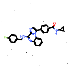 O=C(NC1CC1)c1ccc(-c2cnc3c(NCc4ccc(F)cc4)nc4ccccc4n23)cc1